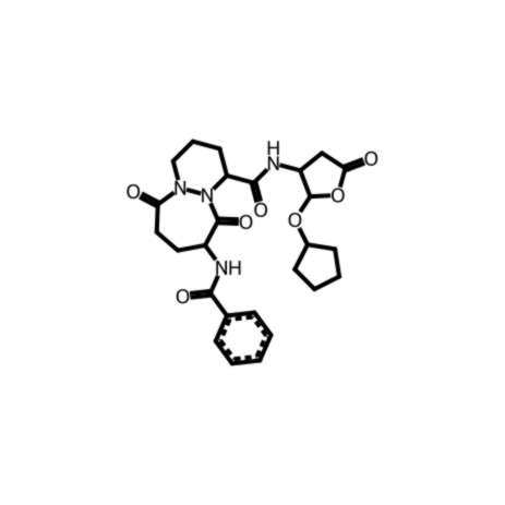 O=C1CC(NC(=O)C2CCCN3C(=O)CCC(NC(=O)c4ccccc4)C(=O)N23)C(OC2CCCC2)O1